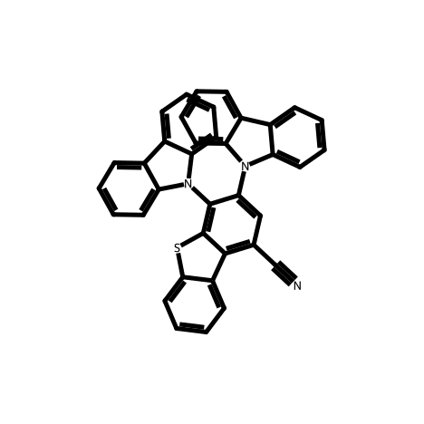 N#Cc1cc(-n2c3ccccc3c3ccccc32)c(-n2c3ccccc3c3ccccc32)c2sc3ccccc3c12